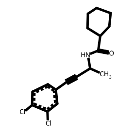 CC(C#Cc1ccc(Cl)c(Cl)c1)NC(=O)C1CCCCC1